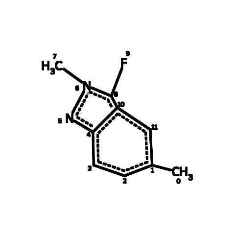 Cc1ccc2nn(C)c(F)c2c1